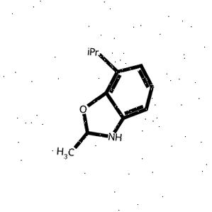 CC1Nc2cccc(C(C)C)c2O1